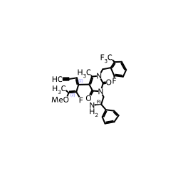 C#C/C=C(\C(F)=C(/C)OC)c1c(C)n(Cc2c(F)cccc2C(F)(F)F)c(=O)n(C[C@H](N)c2ccccc2)c1=O